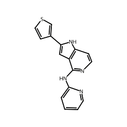 c1ccc(Nc2nccc3[nH]c(-c4ccsc4)cc23)nc1